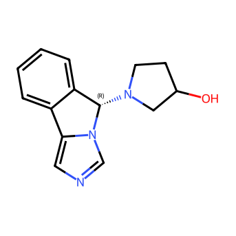 OC1CCN([C@H]2c3ccccc3-c3cncn32)C1